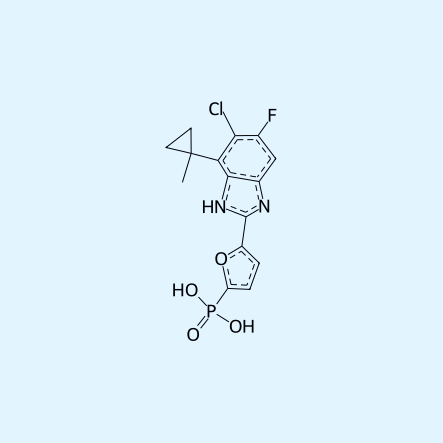 CC1(c2c(Cl)c(F)cc3nc(-c4ccc(P(=O)(O)O)o4)[nH]c23)CC1